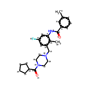 Cc1cccc(C(=O)Nc2cc(F)cc(CN3CCN(C(=O)C4CCCC4)CC3)c2C)c1